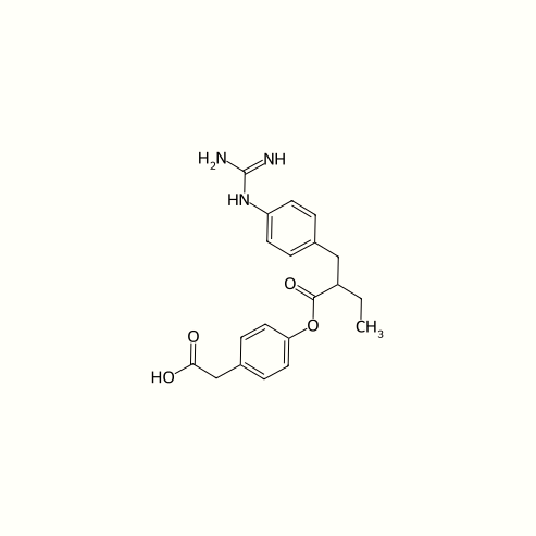 CCC(Cc1ccc(NC(=N)N)cc1)C(=O)Oc1ccc(CC(=O)O)cc1